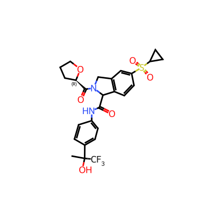 CC(O)(c1ccc(NC(=O)C2c3ccc(S(=O)(=O)C4CC4)cc3CN2C(=O)[C@H]2CCCO2)cc1)C(F)(F)F